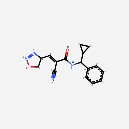 N#C/C(=C\C1CON=N1)C(=O)NC(c1ccccc1)C1CC1